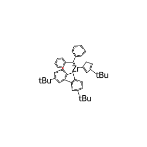 CC(C)(C)C1=CC[C]([Zr](=[C](c2ccccc2)c2ccccc2)[CH]2c3ccc(C(C)(C)C)cc3-c3cc(C(C)(C)C)ccc32)=C1